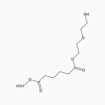 CCCCCCCCOC(=O)CCCCC(=O)OCCOCCO